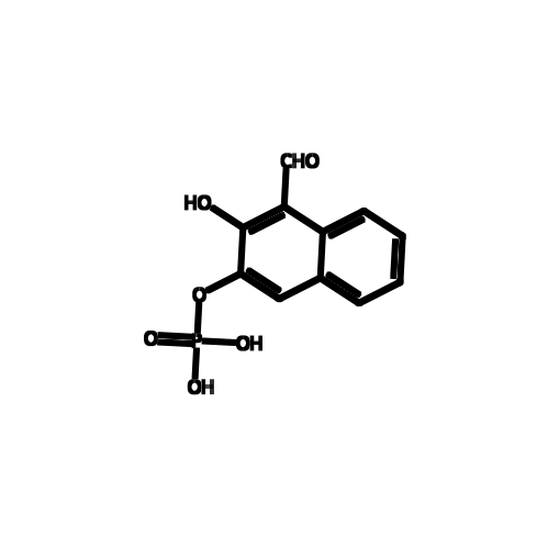 O=Cc1c(O)c(OP(=O)(O)O)cc2ccccc12